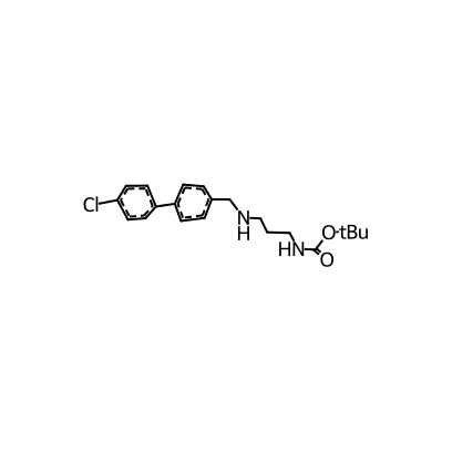 CC(C)(C)OC(=O)NCCCNCc1ccc(-c2ccc(Cl)cc2)cc1